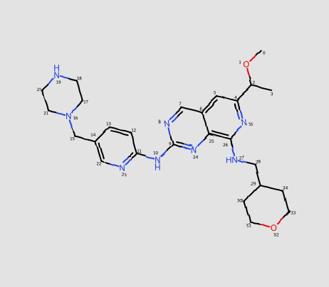 COC(C)c1cc2cnc(Nc3ccc(CN4CCNCC4)cn3)nc2c(NCC2CCOCC2)n1